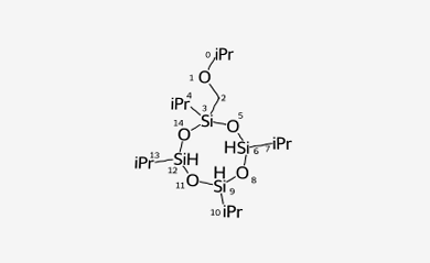 CC(C)OC[Si]1(C(C)C)O[SiH](C(C)C)O[SiH](C(C)C)O[SiH](C(C)C)O1